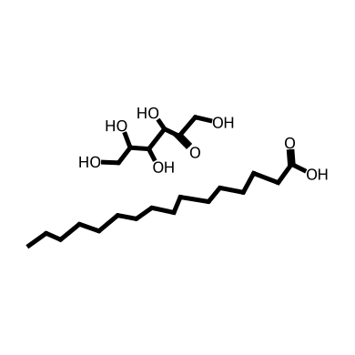 CCCCCCCCCCCCCCCC(=O)O.O=C(CO)C(O)C(O)C(O)CO